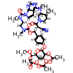 COC(=O)[C@H]1O[C@@H](Oc2ccc(COC(=O)N(C)CCN(C)C(=O)n3ccc4c(N(C)[C@H]5CN(C(=O)CC#N)CC[C@H]5C)ncnc43)cc2)[C@H](OC(C)=O)[C@@H](OC(C)=O)[C@@H]1OC(C)=O